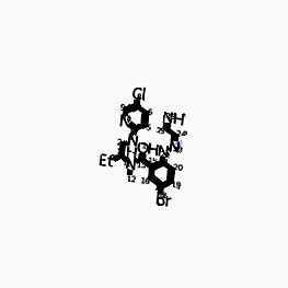 CCC(CNc1ccc(Cl)cn1)N(C)C(=O)c1cc(Br)ccc1N/N=C\C=N